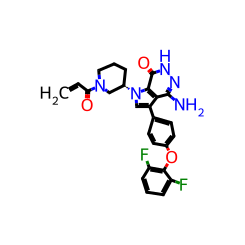 C=CC(=O)N1CCC[C@H](n2cc(-c3ccc(Oc4c(F)cccc4F)cc3)c3c(N)n[nH]c(=O)c32)C1